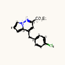 CCOC(=O)c1cc(Cc2ccc(Cl)cc2)c2cccn2n1